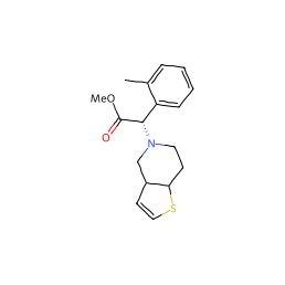 COC(=O)[C@H](c1ccccc1C)N1CCC2SC=CC2C1